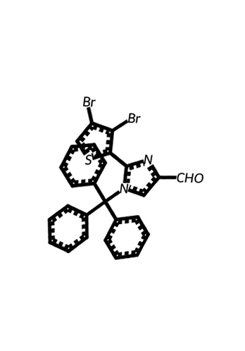 O=Cc1cn(C(c2ccccc2)(c2ccccc2)c2ccccc2)c(-c2scc(Br)c2Br)n1